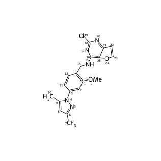 COc1cc(-n2nc(C(F)(F)F)cc2C)ccc1CNc1nc(Cl)nc2ccoc12